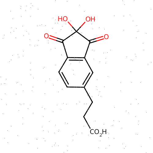 O=C(O)CCc1ccc2c(c1)C(=O)C(O)(O)C2=O